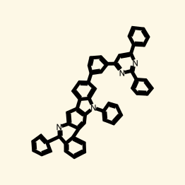 c1ccc(-c2cc(-c3cccc(-c4ccc5c6cc7nc(-c8ccccc8)c8ccccc8c7cc6n(-c6ccccc6)c5c4)c3)nc(-c3ccccc3)n2)cc1